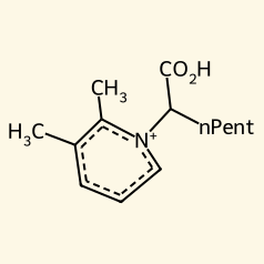 CCCCCC(C(=O)O)[n+]1cccc(C)c1C